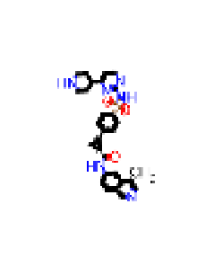 Cc1cncc2ccc(NC(=O)[C@@H]3C[C@H]3c3ccc(S(=O)(=O)Nc4nccc(C5CCNCC5)n4)cc3)cc12